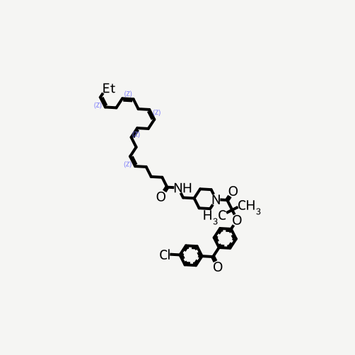 CC/C=C\C/C=C\C/C=C\C/C=C\C/C=C\CCCC(=O)NCC1CCN(C(=O)C(C)(C)Oc2ccc(C(=O)c3ccc(Cl)cc3)cc2)CC1